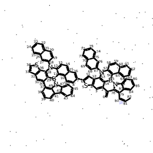 C=C1c2cc3sc(-c4ccc5c6c(ccc5c4)N(c4ccc5ccccc5c4)c4c5c(cc7ccsc47)-c4cccc7c8ccccc8n(c47)B56)cc3c3c2B(c2c(ccc4ccccc24)N3c2ccc3ccccc3c2)n2c1c(/C=C\C)c1ccccc12